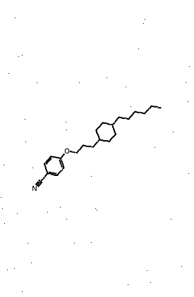 CCCCCCC1CCC(CCCOc2ccc(C#N)cc2)CC1